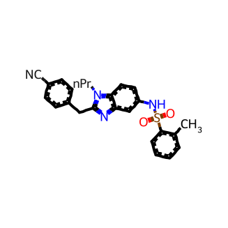 CCCn1c(Cc2ccc(C#N)cc2)nc2cc(NS(=O)(=O)c3ccccc3C)ccc21